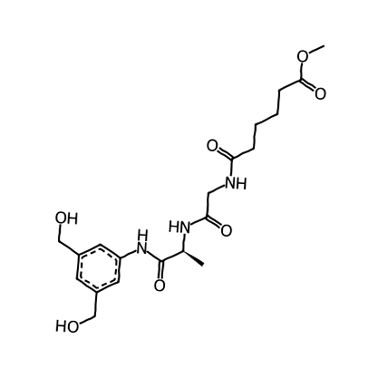 COC(=O)CCCCC(=O)NCC(=O)N[C@@H](C)C(=O)Nc1cc(CO)cc(CO)c1